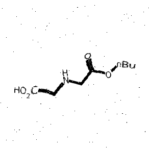 CCCCOC(=O)CNCC(=O)O